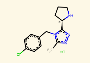 Cl.FC(F)(F)c1nnc([C@H]2CCCN2)n1Cc1ccc(Cl)cc1